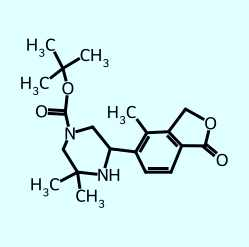 Cc1c(C2CN(C(=O)OC(C)(C)C)CC(C)(C)N2)ccc2c1COC2=O